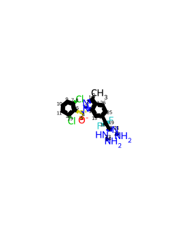 Cc1nn([S+]([O-])c2c(Cl)cccc2Cl)c2cc(C(F)(F)/C(=N/N)NN)ccc12